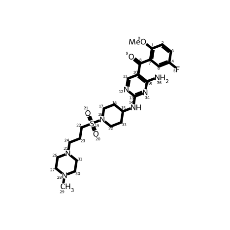 COc1ccc(F)cc1C(=O)c1cnc(NC2CCN(S(=O)(=O)CCCN3CCN(C)CC3)CC2)nc1N